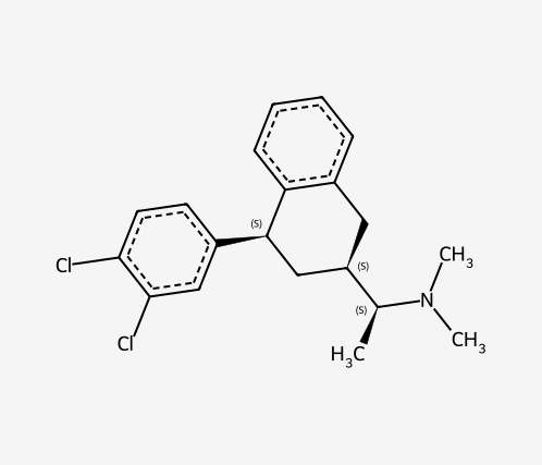 C[C@@H]([C@@H]1Cc2ccccc2[C@H](c2ccc(Cl)c(Cl)c2)C1)N(C)C